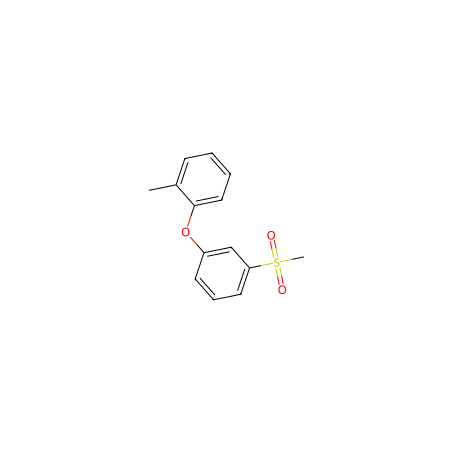 Cc1ccccc1Oc1cccc(S(C)(=O)=O)c1